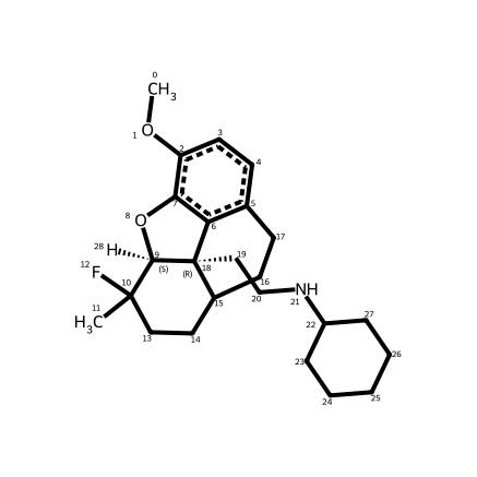 COc1ccc2c3c1O[C@@H]1C(C)(F)CCC(CC2)[C@]31CCNC1CCCCC1